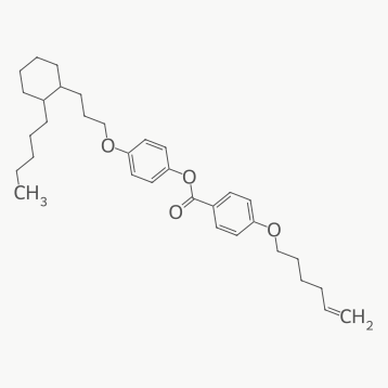 C=CCCCCOc1ccc(C(=O)Oc2ccc(OCCCC3CCCCC3CCCCC)cc2)cc1